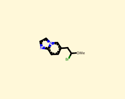 COC(Br)Cc1ccc2nccn2c1